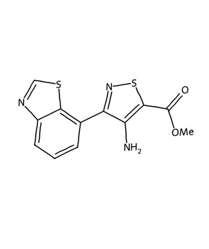 COC(=O)c1snc(-c2cccc3ncsc23)c1N